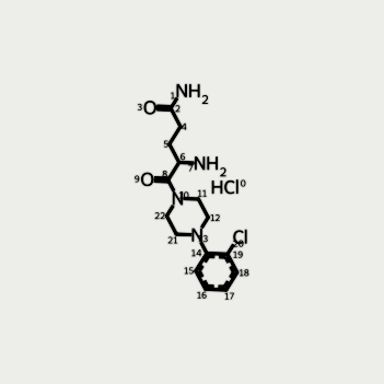 Cl.NC(=O)CCC(N)C(=O)N1CCN(c2ccccc2Cl)CC1